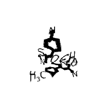 Cc1ccc(-c2cc(C#N)c(=O)n(C)c2COC(c2ccc(C#N)cc2)c2cncs2)cc1